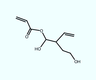 C=CC(=O)OC(O)C(C=C)CCO